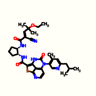 CCOC(C)(C)/C=C(\C#N)C(=O)N[C@H]1CCC[C@H]1NC(=O)c1sc2nccc3c2c1NC(=O)N3c1cnc(CC(C)C)cc1C